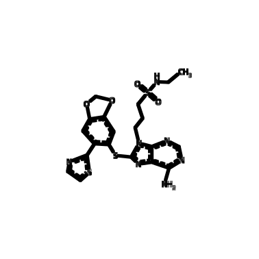 CCNS(=O)(=O)CCCn1c(Sc2cc3c(cc2-c2nccs2)OCO3)nc2c(N)ncnc21